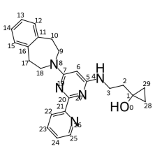 OC1(CCNc2cc(N3CCc4ccccc4CC3)nc(-c3ccccn3)n2)CC1